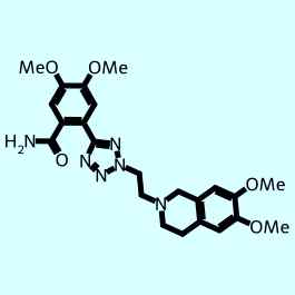 COc1cc2c(cc1OC)CN(CCn1nnc(-c3cc(OC)c(OC)cc3C(N)=O)n1)CC2